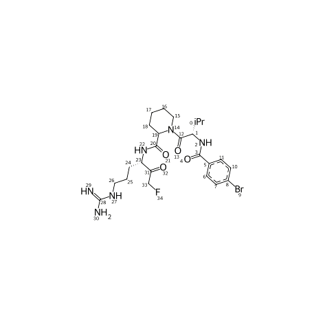 CC(C)[C@H](NC(=O)c1ccc(Br)cc1)C(=O)N1CCCCC1C(=O)N[C@@H](CCCNC(=N)N)C(=O)CF